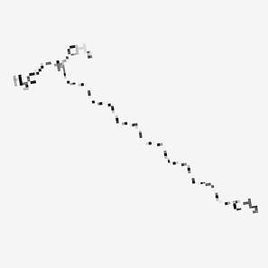 C=CN(C)CCCCCCCCCCCCCC